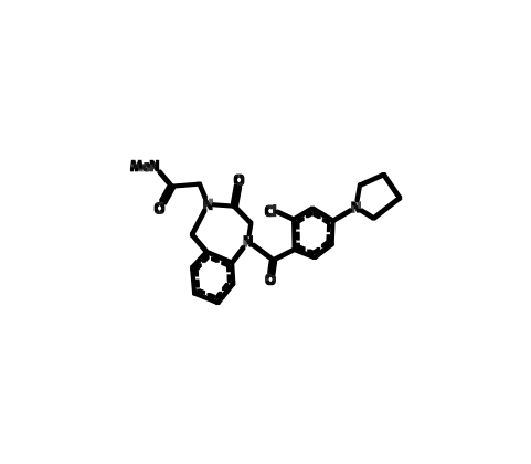 CNC(=O)CN1Cc2ccccc2N(C(=O)c2ccc(N3CCCC3)cc2Cl)CC1=O